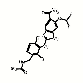 CC(C)(C)C(=O)NCc1ccc(Cl)c(Nc2nc3cc(C(N)=O)c(OC(F)F)cc3[nH]2)c1Cl